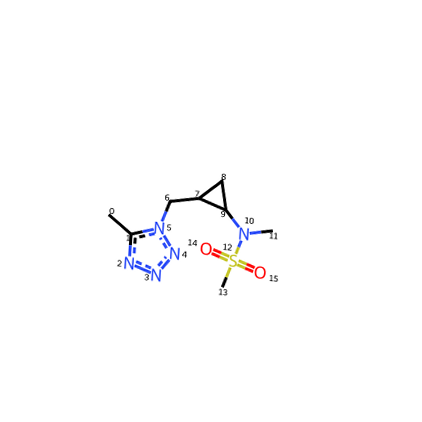 Cc1nnnn1CC1CC1N(C)S(C)(=O)=O